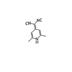 [C-]#[N+]C([N+]#[C-])=C1C=C(C)NC(C)=C1